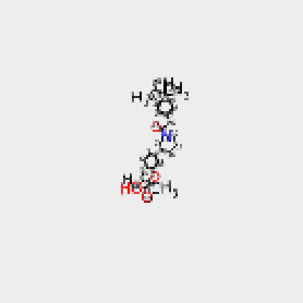 CC(C)(Oc1cccc([C@H]2CCCN(C(=O)Cc3ccc(C(C)(C)C)cc3)C2)c1)C(=O)O